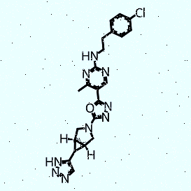 Cc1nc(NCCc2ccc(Cl)cc2)ncc1-c1nnc(N2C[C@@H]3C(c4cnn[nH]4)[C@@H]3C2)o1